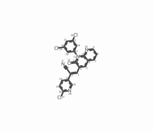 N#CC(=Cc1cc2cccnc2n(-c2cc(Cl)cc(Cl)c2)c1=O)c1ccc(Cl)nc1